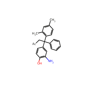 CC(=O)CC(c1ccccc1)(c1ccc(O)c(N)c1)c1ccc(C)cc1C